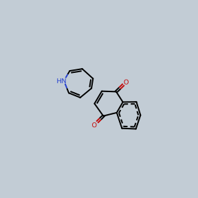 C1=CC=CNC=C1.O=C1C=CC(=O)c2ccccc21